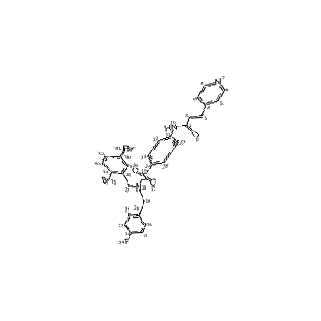 O=C(/C=C/c1ccncc1)Nc1ccc(S(=O)(=O)N(Cc2ccc(F)cc2)Cc2cc(Br)ccc2Br)cc1